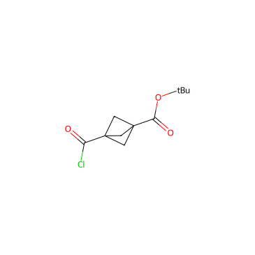 CC(C)(C)OC(=O)C12CC(C(=O)Cl)(C1)C2